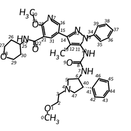 COCCN1C[C@@H](NC(=O)Nc2c(C)c(-c3cnc(OC)c(C(=O)NC4CCOCC4)c3)nn2-c2ccccc2)[C@H](c2ccccc2)C1